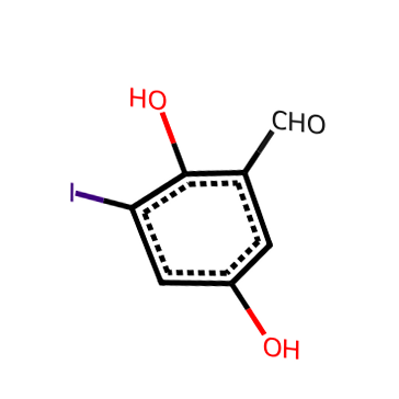 O=Cc1cc(O)cc(I)c1O